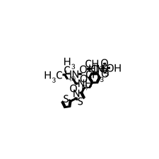 CC(C)C[C@H](NC(=O)OC(C)(C)C)C(=O)N[C@@H](Cc1ccc(NS(=O)(=O)O)cc1)c1csc(-c2cccs2)n1